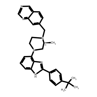 C[C@H]1CN(c2cccc3[nH]c(-c4ccc(C(C)(C)C)cc4)nc23)CCN1Cc1ccc2cncnc2c1